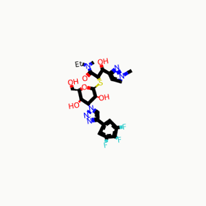 CCN(C)C(=O)C(S[C@@H]1O[C@H](CO)[C@H](O)[C@H](n2cc(-c3cc(F)c(F)c(F)c3)nn2)[C@H]1O)C(O)c1ccn(C)n1